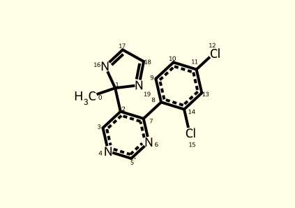 CC1(c2cn[c]nc2-c2ccc(Cl)cc2Cl)N=CC=N1